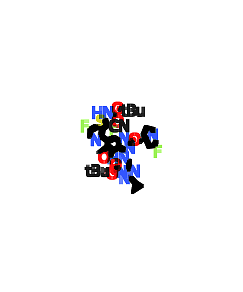 CC(C)(C)OC(=O)Nc1sc2c(F)cnc(-c3c4c(c5c(NCc6nc(C7CC7)nn6C(=O)OC(C)(C)C)nc(OC[C@@]67CCCN6C[C@H](F)C7)nc5c3F)COC4)c2c1C#N